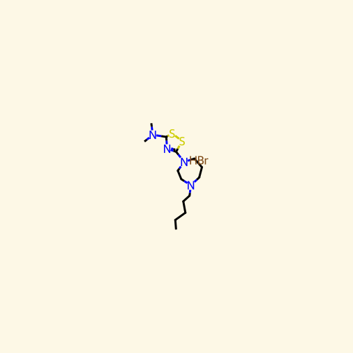 Br.CCCCCN1CCCN(C2=NC(N(C)C)SS2)CC1